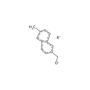 Cc1ccc2cc(C[O-])ccc2c1.[K+]